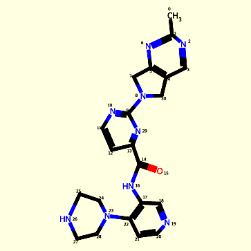 Cc1ncc2c(n1)CN(c1nccc(C(=O)Nc3cnccc3N3CCNCC3)n1)C2